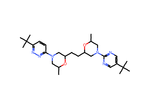 CC1CN(c2ccc(C(C)(C)C)nn2)CC(CCC2CN(c3ncc(C(C)(C)C)cn3)CC(C)O2)O1